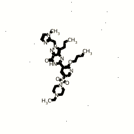 CCCCOc1ncc(S(=O)(=O)N2CCN(CC)CC2)cc1-c1nc2c(CCC)n(Cc3nccn3C)nc2c(=O)[nH]1